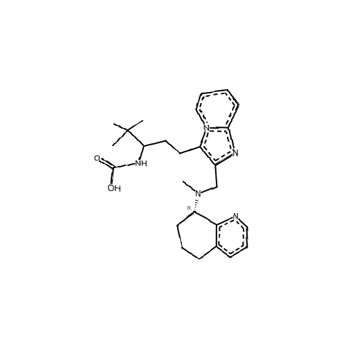 CN(Cc1nc2ccccn2c1CCC(NC(=O)O)C(C)(C)C)[C@H]1CCCc2cccnc21